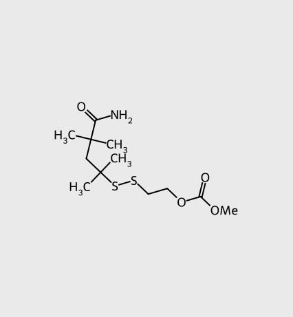 COC(=O)OCCSSC(C)(C)CC(C)(C)C(N)=O